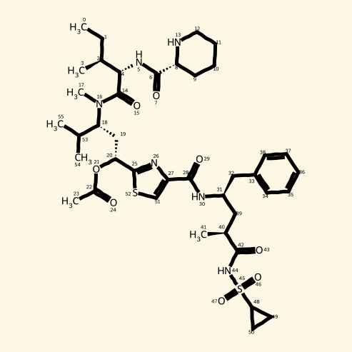 CC[C@H](C)[C@H](NC(=O)[C@H]1CCCCN1)C(=O)N(C)[C@H](C[C@@H](OC(C)=O)c1nc(C(=O)N[C@@H](Cc2ccccc2)C[C@H](C)C(=O)NS(=O)(=O)C2CC2)cs1)C(C)C